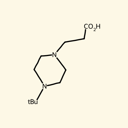 CC(C)(C)N1CCN(CCC(=O)O)CC1